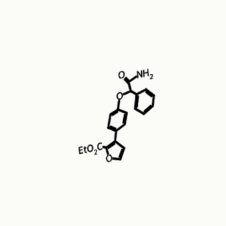 CCOC(=O)c1occc1-c1ccc(OC(C(N)=O)c2ccccc2)cc1